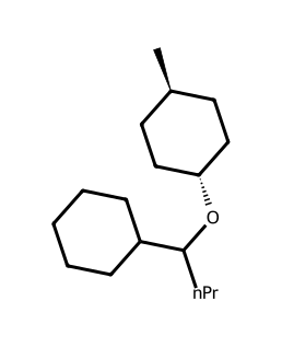 CCCC(O[C@H]1CC[C@H](C)CC1)C1CCCCC1